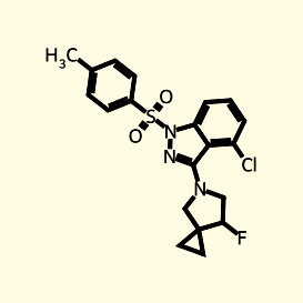 Cc1ccc(S(=O)(=O)n2nc(N3CC(F)C4(CC4)C3)c3c(Cl)cccc32)cc1